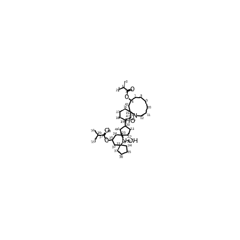 CC(I)C(=O)OC1CCCCCCN(O)C2(CCCC(C3CCC4(CC(OC(=O)C(C)I)CC5(CCCC5)N4O)C3)C2)C1